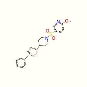 COc1ccc(S(=O)(=O)N2CCC(c3ccc(-c4ccccc4)cc3)CC2)cn1